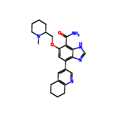 CN1CCCCC1COc1cc(-c2cnc3c(c2)CCCC3)c2nc[nH]c2c1C(N)=O